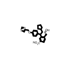 O=C(O)c1ccc(C=NO)c(C(CC2CCCC2)c2ccc(OCc3cscn3)cc2)c1